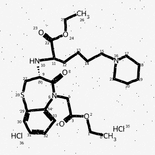 CCOC(=O)CN1C(=O)[C@@H](NC(CCCCN2CCCCC2)C(=O)OCC)CSc2ccccc21.Cl.Cl